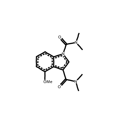 COc1cccc2c1c(C(=O)N(C)C)cn2C(=O)N(C)C